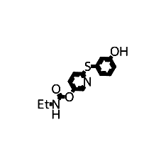 CCNC(=O)Oc1ccc(Sc2cccc(O)c2)nc1